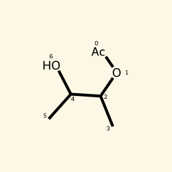 CC(=O)OC(C)C(C)O